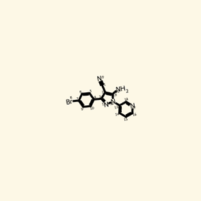 N#Cc1c(-c2ccc(Br)cc2)nn(-c2cccnc2)c1N